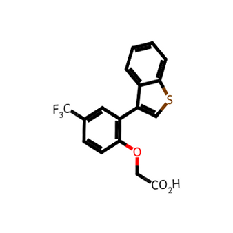 O=C(O)COc1ccc(C(F)(F)F)cc1-c1csc2ccccc12